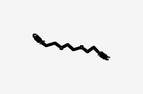 [C-]#[N+]CCOCCOCC[N+]#[C-]